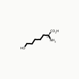 N[C@@H](CCCCCO)C(=O)O